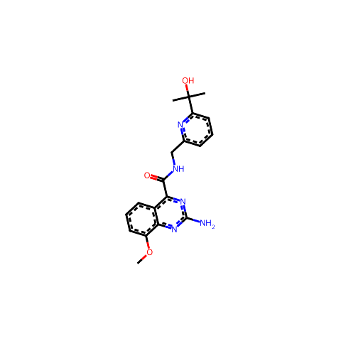 COc1cccc2c(C(=O)NCc3cccc(C(C)(C)O)n3)nc(N)nc12